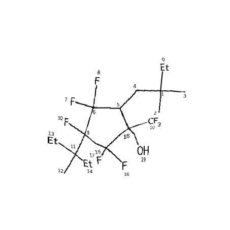 CCC(C)(C)CC1C(F)(F)C(F)(C(C)(CC)CC)C(F)(F)C1(O)C(F)(F)F